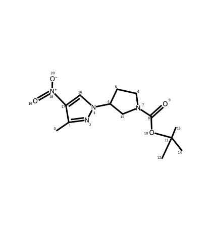 Cc1nn(C2CCN(C(=O)OC(C)(C)C)C2)cc1[N+](=O)[O-]